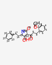 COc1ccccc1CCC(=O)C1=C(O)C(CCc2ccccc2)=NC1=O